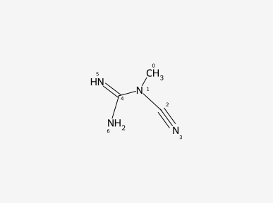 CN(C#N)C(=N)N